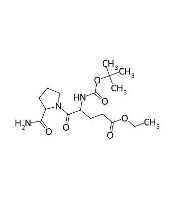 CCOC(=O)CCC(NC(=O)OC(C)(C)C)C(=O)N1CCCC1C(N)=O